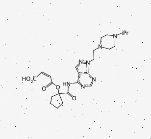 CC(C)N1CCN(CCn2ncc3c(NC(=O)C4(OC(=O)/C=C\C(=O)O)CCCC4)ncnc32)CC1